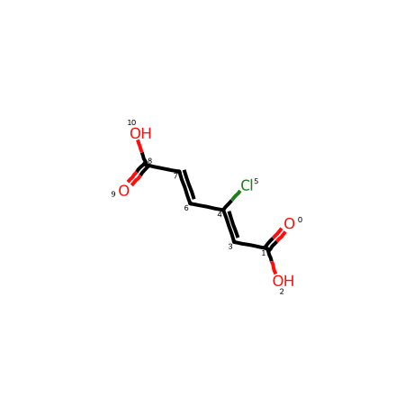 O=C(O)/C=C(Cl)/C=C/C(=O)O